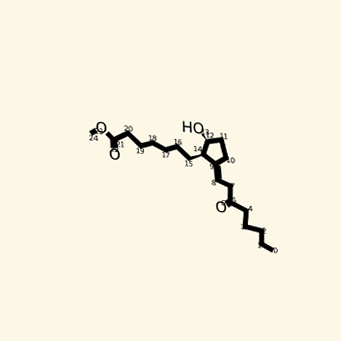 CCCCCC(=O)CC=C1CC[C@@H](O)[C@@H]1CCCCCCC(=O)OC